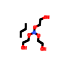 CCCC.OCCON(OCCO)OCCO